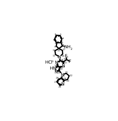 Cl.N[C@@H]1c2ccccc2CC12CCN(c1nc3[nH]nc(N4CCCc5ncccc54)c3nc1C(F)F)CC2